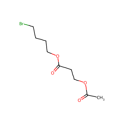 CC(=O)OCCC(=O)OCCCCBr